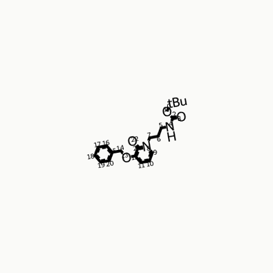 CC(C)(C)OC(=O)NCCCn1cccc(OCc2ccccc2)c1=O